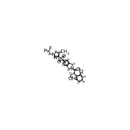 Cc1cn(CC(F)F)nc1S(=O)(=O)n1cc2c(n1)CN(C(=O)[C@H](CO)c1ccccc1Cl)C2